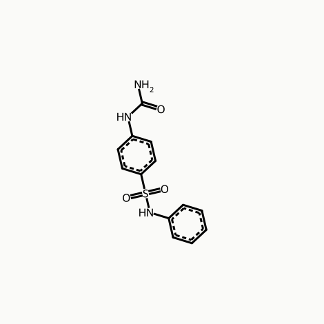 NC(=O)Nc1ccc(S(=O)(=O)Nc2ccccc2)cc1